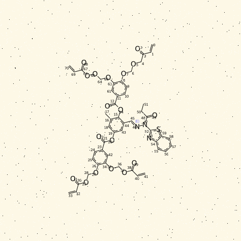 C=CC(=O)COCOc1ccc(C(=O)Oc2c(C)cc(OC(=O)c3ccc(OCOC(=O)C=C)c(OCOC(=O)C=C)c3)cc2/C=N/N(C(=O)CC)c2nc3ccccc3s2)cc1OCOOC(=O)C=C